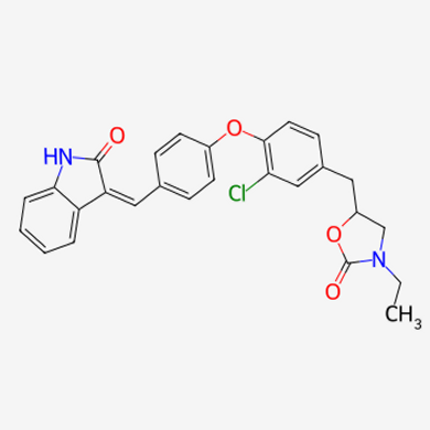 CCN1CC(Cc2ccc(Oc3ccc(C=C4C(=O)Nc5ccccc54)cc3)c(Cl)c2)OC1=O